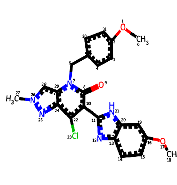 COc1ccc(Cn2c(=O)c(-c3nc4ccc(OC)cc4[nH]3)c(Cl)c3nn(C)cc32)cc1